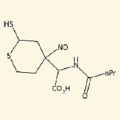 CCCC(=O)NC(C(=O)O)C1(N=O)CCSC(S)C1